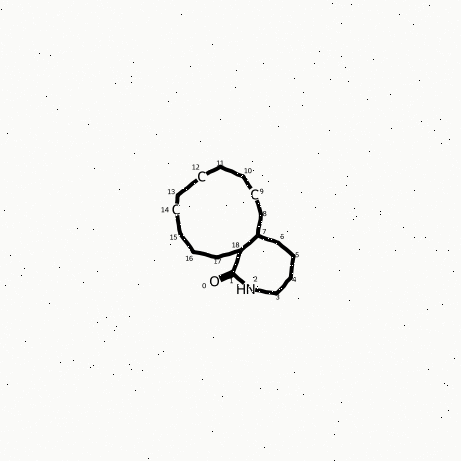 O=C1NCCCCC2CCCCCCCCCCC12